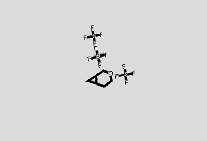 C1CC2CC2CO1.F[B-](F)(F)F.F[B-](F)(F)F.F[B-](F)(F)F